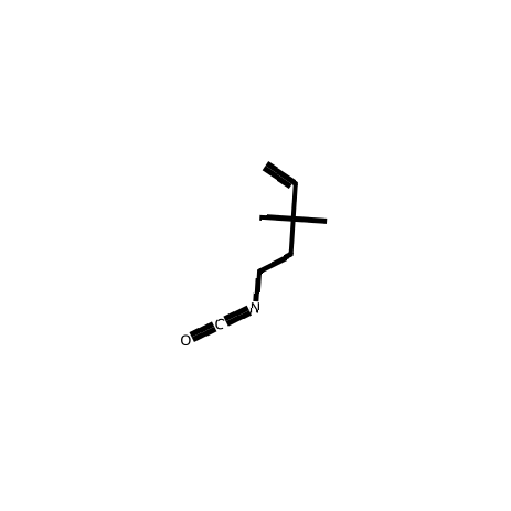 C=CC(C)(C)CCN=C=O